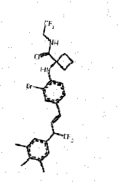 Cc1cc(C(/C=C/c2ccc(NC3(C(=O)NCC(F)(F)F)CCC3)c(Br)c2)C(F)(F)F)cc(C)c1C